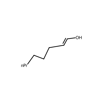 CCCCCCC=CO